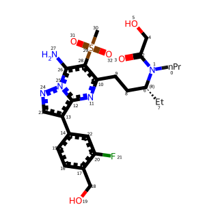 CCCN(C(=O)CO)[C@H](CC)CCc1nc2c(-c3ccc(CO)c(F)c3)cnn2c(N)c1S(C)(=O)=O